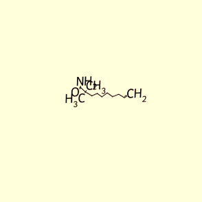 C=CCCCCCCC(C)(C)C(N)=O